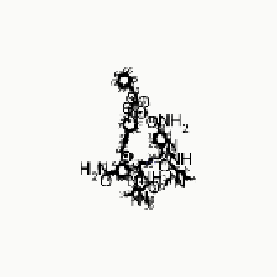 CCn1nc(C)cc1C(=O)Nc1nc2cc(C(N)=O)ccc2n1C/C=C/Cn1c(NC(=O)c2cc(C)nn2CC)nc2cc(C(N)=O)cc(OCC#CC3CCN(S(=O)(=O)C(=O)OCc4ccccc4)CC3)c21